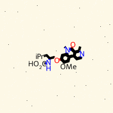 COc1cc2c3ccnc(C)c3c(=O)n(C)c2cc1OCC(CC(C)C)NC(=O)O